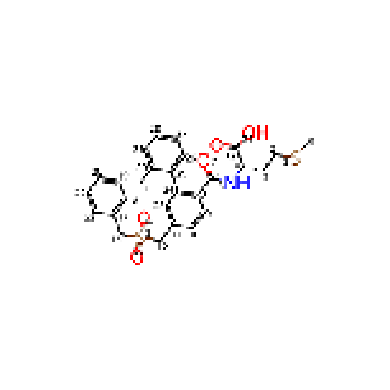 CSCC[C@H](NC(=O)c1ccc(CS(=O)(=O)Cc2ccccc2)cc1-c1ccccc1C)C(=O)O